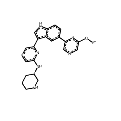 CC(C)Oc1cncc(-c2ccc3[nH]cc(-c4cncc(N[C@@H]5CCCNC5)n4)c3c2)n1